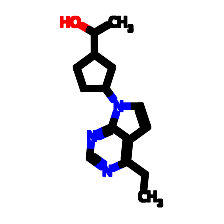 CCc1ncnc2c1ccn2C1CCC(C(C)O)C1